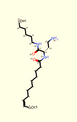 CCCCCCCC/C=C\CCCCCCCC(=O)N[C@@H](CCN)C(=O)NCCCCCCCCCCCCCCC